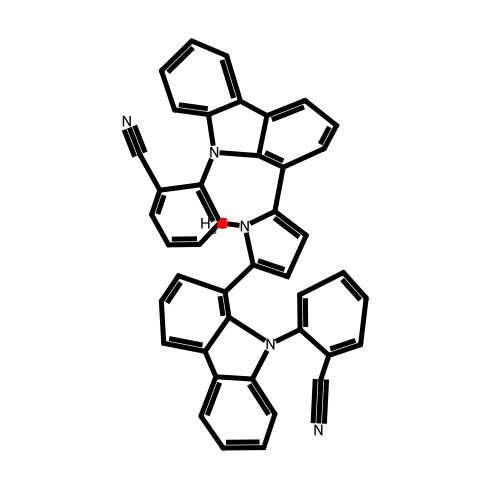 Cn1c(-c2cccc3c4ccccc4n(-c4ccccc4C#N)c23)ccc1-c1cccc2c3ccccc3n(-c3ccccc3C#N)c12